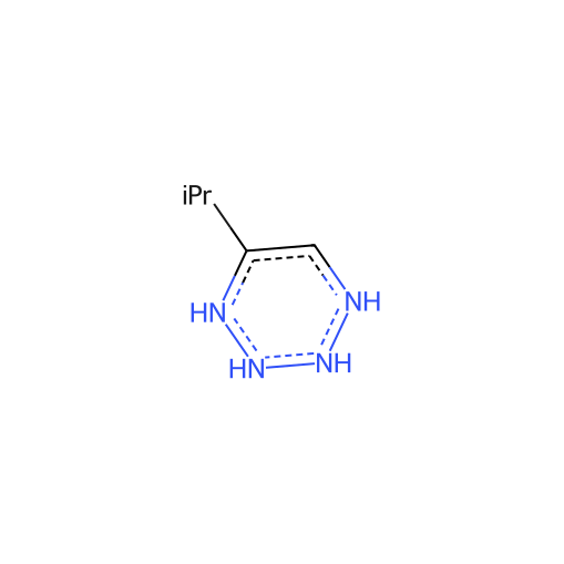 CC(C)c1c[nH][nH][nH][nH]1